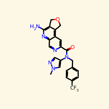 Cn1cc(N(Cc2ccc(C(F)(F)F)cc2)C(=O)c2cc3c4c(c(N)nc3cn2)COC4)cn1